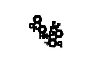 CO[C@@H]1CC[C@H](C)[C@@H](C(=O)Nc2ccc(-c3ccccc3Cl)c(F)c2)[C@H]1c1cccc(C(F)(F)F)n1